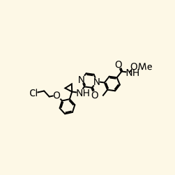 CONC(=O)c1ccc(C)c(-n2ccnc(NC3(c4ccccc4OCCCl)CC3)c2=O)c1